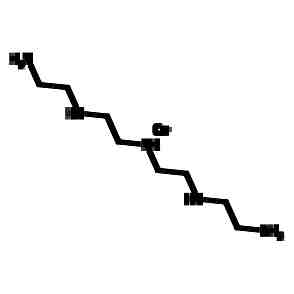 NCCNCCNCCNCCN.[Cu]